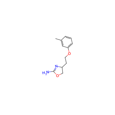 Cc1cccc(OCCC2COC(N)=N2)c1